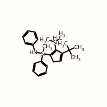 C[SiH](C)C1=C([Si](C)(Nc2ccccc2)c2ccccc2)CC=C1C(C)(C)C